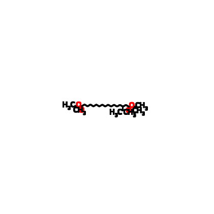 CC(C)OC(=O)CCCCCCCCCCCCCC(CC(=O)OC(C)C)C(C)C